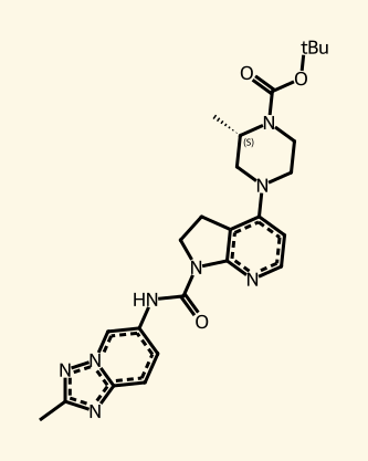 Cc1nc2ccc(NC(=O)N3CCc4c(N5CCN(C(=O)OC(C)(C)C)[C@@H](C)C5)ccnc43)cn2n1